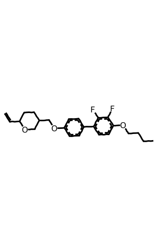 C=CC1CCC(COc2ccc(-c3ccc(OCCCC)c(F)c3F)cc2)CO1